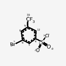 O=S(=O)(Cl)c1cc(Br)cc(C(F)(F)F)c1